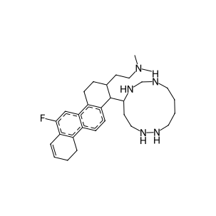 CN(C)CCC1CCc2c(ccc3c4c(c(F)cc23)C=CCC4)C1C1CCNNCCCCNCN1